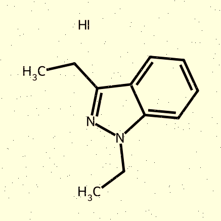 CCc1nn(CC)c2ccccc12.I